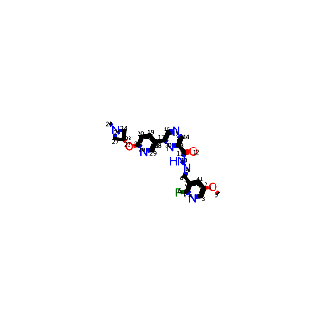 COc1cnc(F)c(/C=N/NC(=O)c2cncc(-c3ccc(OC4CN(C)C4)nc3)n2)c1